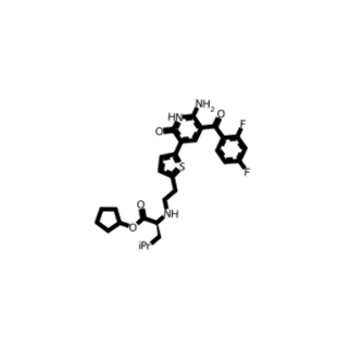 CC(C)C[C@H](NCCc1ccc(-c2cc(C(=O)c3ccc(F)cc3F)c(N)[nH]c2=O)s1)C(=O)OC1CCCC1